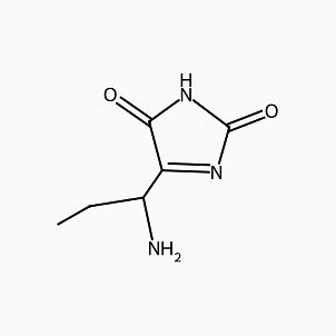 CCC(N)C1=NC(=O)NC1=O